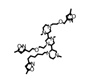 Cc1cc(CCCCCCN2CCN(C)CC2C2CN(C)C(C3CN(CCOCc4cc(C)on4)CCN3C)CN2CCOCCc2cc(C)on2)no1